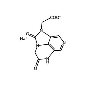 O=C([O-])Cn1c(=O)n2c3c(cncc31)NC(=O)C2.[Na+]